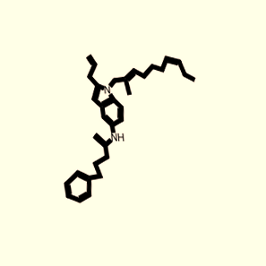 C=CCc1cc2cc(NC(=C)CCCc3ccccc3)ccc2n1C/C(C)=C/CCC/C=C\CC